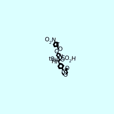 CC(C)(C)[C@@]1(C(=O)Nc2ccc(N3CCOCC3=O)cc2)C[C@H](OC(=O)c2ccc([N+](=O)[O-])cc2)CN1C(=O)O